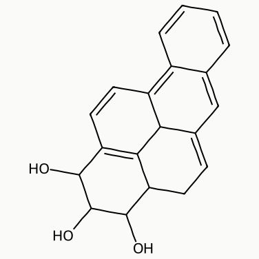 OC1C2=C3C4C(=CCC3C(O)C1O)C=c1ccccc1=C4C=C2